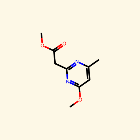 COC(=O)Cc1nc(C)cc(OC)n1